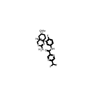 CO[C@@H]1CC[C@]2(c3cc(NC(=O)c4cnc(C(F)F)cn4)ccc3F)N=C(N)SC[C@@H]2C1